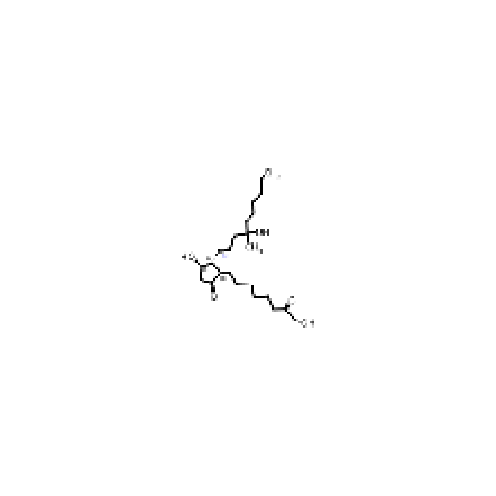 CCCCCCC(C)(O)C/C=C/[C@H]1[C@H](O)CC(=O)[C@@H]1CCCCCCC(=O)CO